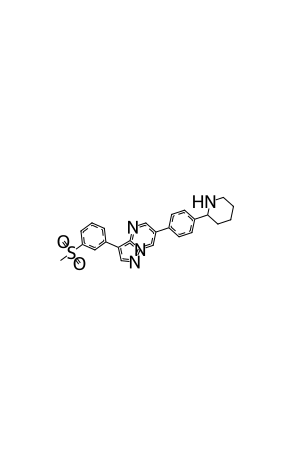 CS(=O)(=O)c1cccc(-c2cnn3cc(-c4ccc(C5CCCCN5)cc4)cnc23)c1